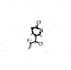 FC(F)C(Cl)c1ccc(Cl)nc1